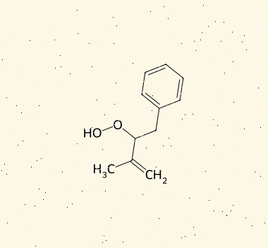 C=C(C)C(Cc1ccccc1)OO